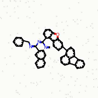 C=N/C(=N\C(=N/Cc1ccccc1)c1ccc2ccccc2c1)c1cccc2oc3cc(-c4ccc5c6c(cccc46)-c4ccccc4-5)ccc3c12